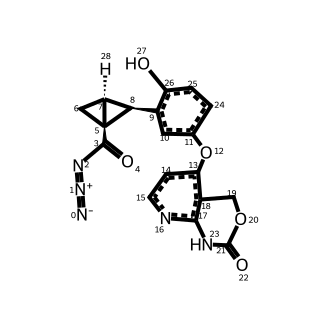 [N-]=[N+]=NC(=O)[C@@]12C[C@H]1[C@H]2c1cc(Oc2ccnc3c2COC(=O)N3)ccc1O